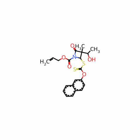 C=CCOC(=O)N1C(=O)C(C)(C(C)O)C1SC(=S)Oc1ccc2ccccc2c1